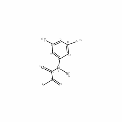 C=C(C)C(=O)N(Br)c1cc(F)cc(F)c1